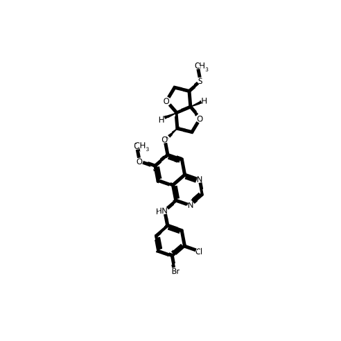 COc1cc2c(Nc3ccc(Br)c(Cl)c3)ncnc2cc1O[C@@H]1CO[C@H]2C(SC)CO[C@@H]12